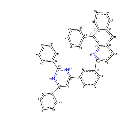 c1ccc(-c2cc(-c3cccc(-c4ccc5cc6ccccc6c(-c6ccccc6)c5n4)c3)nc(-c3ccccc3)n2)cc1